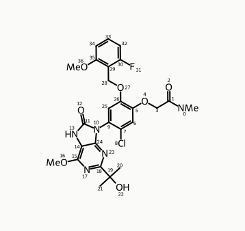 CNC(=O)COc1cc(Cl)c(-n2c(=O)[nH]c3c(OC)nc(C(C)(C)O)nc32)cc1OCc1c(F)cccc1OC